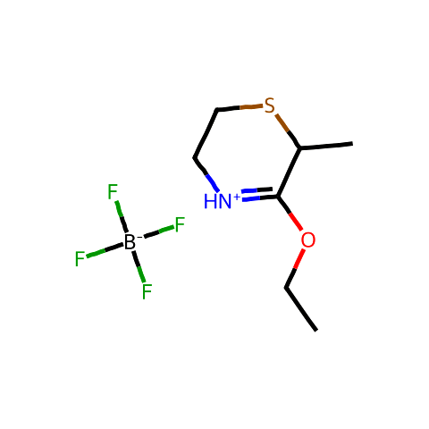 CCOC1=[NH+]CCSC1C.F[B-](F)(F)F